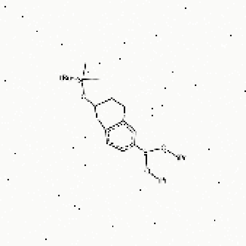 CC(C)OB(OC(C)C)c1ccc2c(c1)CCC(O[Si](C)(C)C(C)(C)C)C2